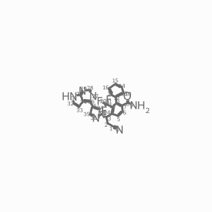 N#CCC(c1ccc(C(N)=O)c(-c2ccccc2)c1C(F)(F)F)n1cc(-c2ncnc3[nH]ccc23)cn1